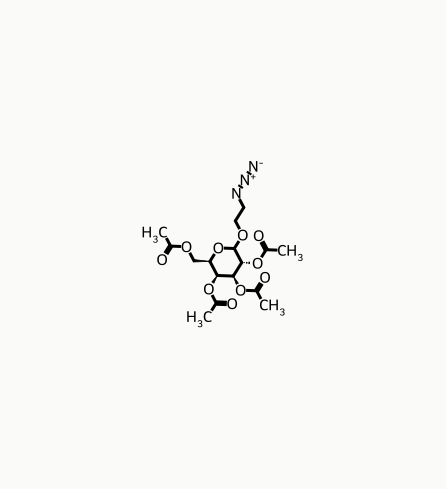 CC(=O)OC[C@H]1OC(OCCN=[N+]=[N-])[C@H](OC(C)=O)[C@@H](OC(C)=O)[C@H]1OC(C)=O